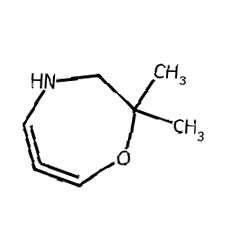 CC1(C)CNC=C=CO1